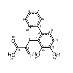 C=C(Cc1c(-c2ccccn2)ncc(O)c1O)C(=O)O